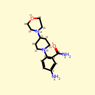 NC(=O)c1cc(N)ccc1N1CCC(N2CCOCC2)CC1